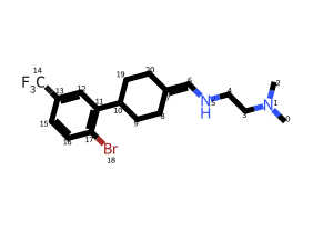 CN(C)CCNC=C1CCC(c2cc(C(F)(F)F)ccc2Br)CC1